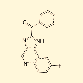 O=C(c1ccccc1)c1nc2cnc3ccc(F)cc3c2[nH]1